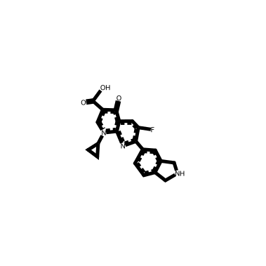 O=C(O)c1cn(C2CC2)c2nc(-c3ccc4c(c3)CNC4)c(F)cc2c1=O